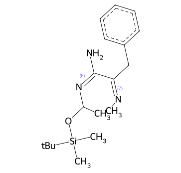 C/N=C(Cc1ccccc1)\C(N)=N/C(C)O[Si](C)(C)C(C)(C)C